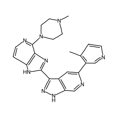 Cc1ccncc1-c1cc2c(-c3nc4c(N5CCN(C)CC5)nccc4[nH]3)n[nH]c2cn1